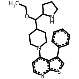 CCOC(C1CCN(c2ccnc3scc(-c4ccccc4)c23)CC1)C1CCCN1